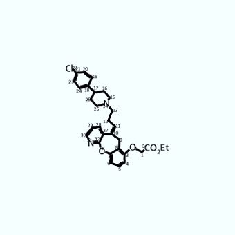 CCOC(=O)COc1cccc2c1C/C(=C/CCN1CCC(c3ccc(Cl)cc3)CC1)c1cccnc1O2